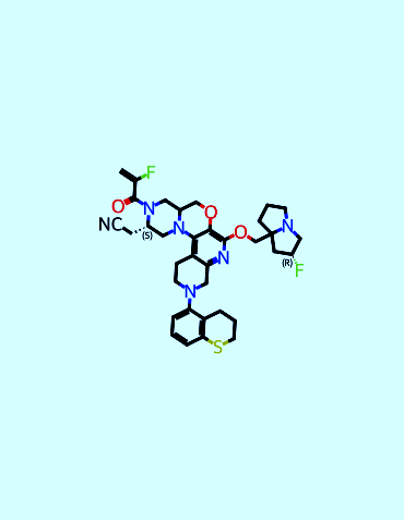 C=C(F)C(=O)N1CC2COc3c(OCC45CCCN4C[C@H](F)C5)nc4c(c3N2C[C@@H]1CC#N)CCN(c1cccc2c1CCCS2)C4